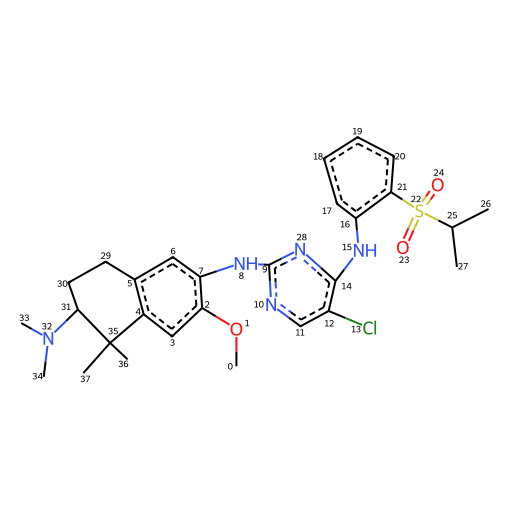 COc1cc2c(cc1Nc1ncc(Cl)c(Nc3ccccc3S(=O)(=O)C(C)C)n1)CCC(N(C)C)C2(C)C